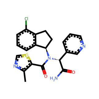 Cc1ncsc1C(=O)N([C@@H]1CCc2c(Cl)cccc21)[C@@H](C(N)=O)c1cccnc1